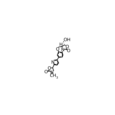 CN1CC(c2ccc(-c3ccc4c(c3)OC[C@H]3[C@H](CO)OC(=O)N43)cn2)OC1=O